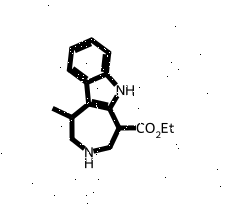 CCOC(=O)C1CNCC(C)c2c1[nH]c1ccccc21